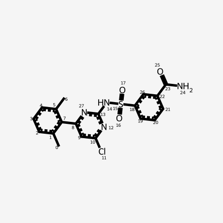 Cc1cccc(C)c1-c1cc(Cl)nc(NS(=O)(=O)c2cccc(C(N)=O)c2)n1